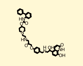 O=C(CNCCN1CCC(OC(=O)Nc2ccccc2-c2ccccc2)CC1)COc1ccc(CNCC(O)c2ccc(O)c3[nH]c(=O)ccc23)cc1